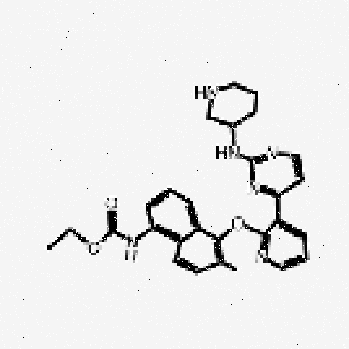 CCOC(=O)Nc1cccc2c(Oc3ncccc3-c3ccnc(NC4CCCNC4)n3)c(C)ccc12